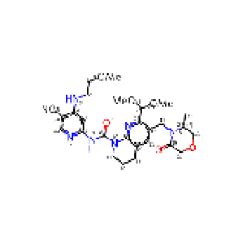 COCCNc1cc(NC(=O)N2CCCc3cc(CN4C(=O)COC[C@@H]4C)c(C(OC)OC)nc32)ncc1C#N